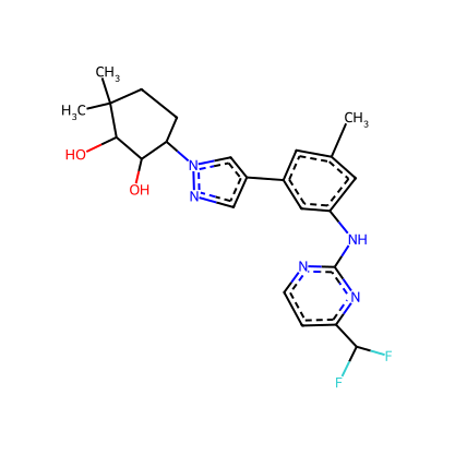 Cc1cc(Nc2nccc(C(F)F)n2)cc(-c2cnn(C3CCC(C)(C)C(O)C3O)c2)c1